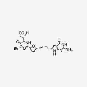 CCC(C)OC(=O)C(CCC(=O)O)NC(=O)c1ccc(C#CCCc2cc3c(=O)[nH]c(N)nc3[nH]2)o1